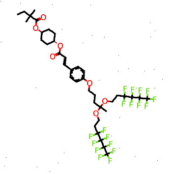 CCC(C)(C)C(=O)O[C@H]1CC[C@H](OC(=O)/C=C/c2ccc(OCCCC(C)(OCCC(F)(F)C(F)(F)C(F)(F)C(F)(F)F)OCCC(F)(F)C(F)(F)C(F)(F)C(F)(F)F)cc2)CC1